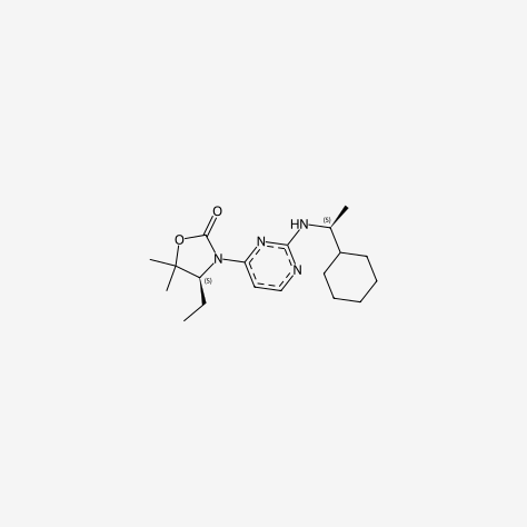 CC[C@@H]1N(c2ccnc(N[C@@H](C)C3CCCCC3)n2)C(=O)OC1(C)C